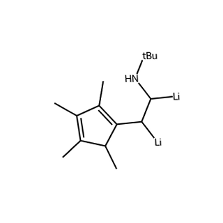 [Li][CH](NC(C)(C)C)[CH]([Li])C1=C(C)C(C)=C(C)C1C